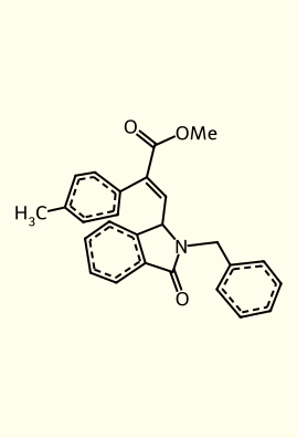 COC(=O)/C(=C/C1c2ccccc2C(=O)N1Cc1ccccc1)c1ccc(C)cc1